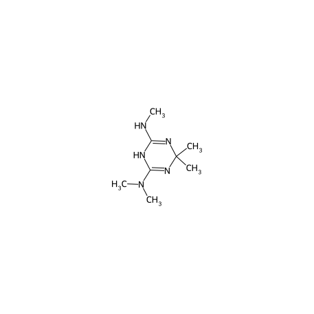 CNC1=NC(C)(C)N=C(N(C)C)N1